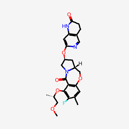 COC[C@H](C)Oc1c(F)c(C)cc2c1C(=O)N1C[C@@H](Oc3cc4c(cn3)CCC(=O)N4)C[C@@H]1CO2